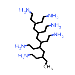 CCC(CCN)CC(CCN)C(CCN)CC(CCN)CC(CCN)CCN